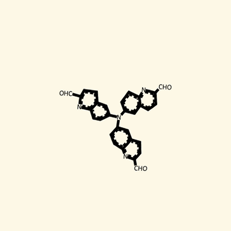 O=Cc1ccc2cc(N(c3ccc4nc(C=O)ccc4c3)c3ccc4nc(C=O)ccc4c3)ccc2n1